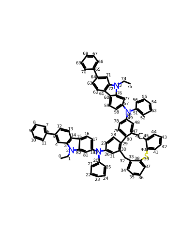 CCn1c2cc(-c3ccccc3)ccc2c2ccc(N(c3ccccc3)c3ccc4c(c3)Cc3ccccc3Sc3ccccc3Cc3cc(N(c5ccccc5)c5ccc6c7ccc(-c8ccccc8)cc7n(CC)c6c5)ccc3-4)cc21